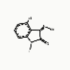 O=C1/C(=N\O)c2c(Cl)cccc2N1Cl